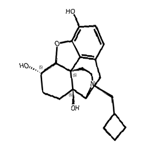 Oc1ccc2c3c1OC1[C@@H](O)CC[C@@]4(O)C(C2)N(CC2CCC2)CC[C@]314